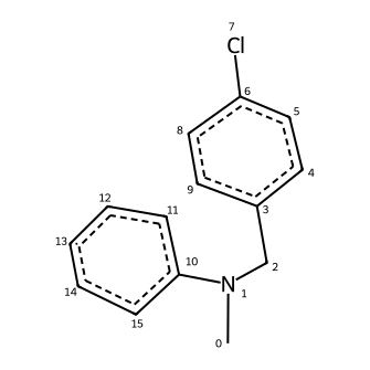 CN(Cc1ccc(Cl)cc1)c1cc[c]cc1